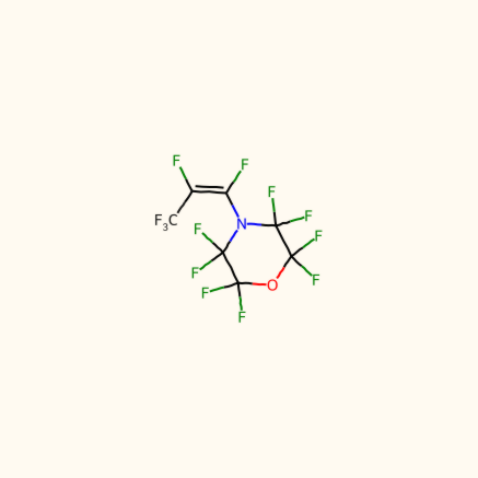 F/C(=C(\F)C(F)(F)F)N1C(F)(F)C(F)(F)OC(F)(F)C1(F)F